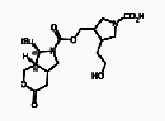 CC(C)(C)[C@@H]1[C@H]2COC(=O)CC2CN1C(=O)OCC1CN(C(=O)O)CC1CCO